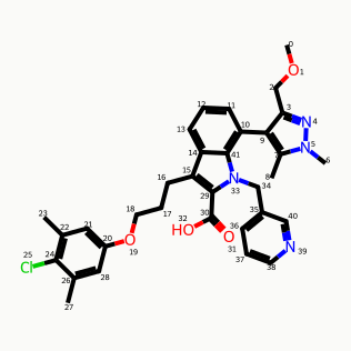 COCc1nn(C)c(C)c1-c1cccc2c(CCCOc3cc(C)c(Cl)c(C)c3)c(C(=O)O)n(Cc3cccnc3)c12